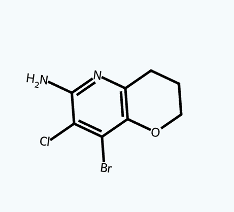 Nc1nc2c(c(Br)c1Cl)OCCC2